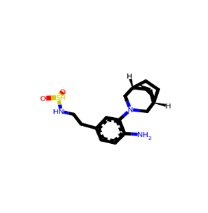 Nc1ccc(CCN[SH](=O)=O)cc1N1C[C@H]2CC[C@@H](C1)C21CC1